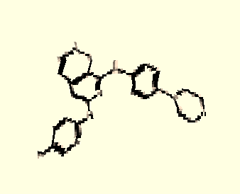 Fc1ccc(Nc2cc3c(c(Nc4ccc(N5CCOCC5)cc4)n2)CNC=C3)nc1